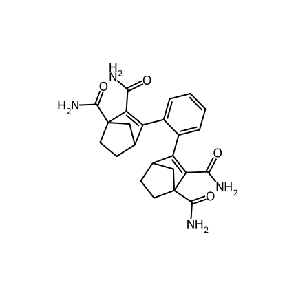 NC(=O)C1=C(c2ccccc2C2=C(C(N)=O)C3(C(N)=O)CCC2C3)C2CCC1(C(N)=O)C2